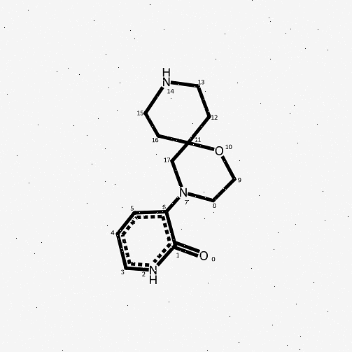 O=c1[nH]cccc1N1CCOC2(CCNCC2)C1